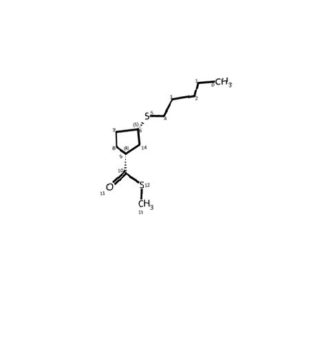 CCCCCS[C@H]1CC[C@@H](C(=O)SC)C1